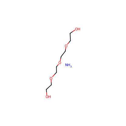 N.OCCOCCOCCOCCO